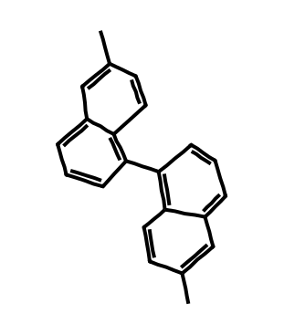 Cc1ccc2c(-c3cccc4cc(C)ccc34)cccc2c1